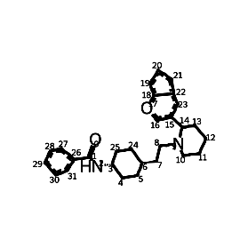 O=C(N[C@H]1CC[C@H](CCN2CCCCC2c2coc3cccc-3c2)CC1)c1ccccc1